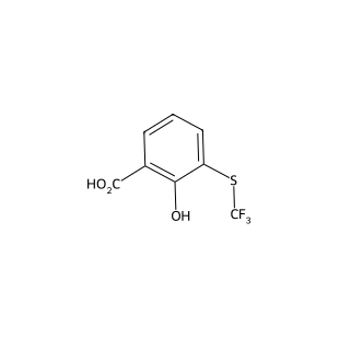 O=C(O)c1cccc(SC(F)(F)F)c1O